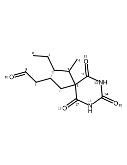 CCCC(C)C1(CCCC=O)C(=O)NC(=O)NC1=O